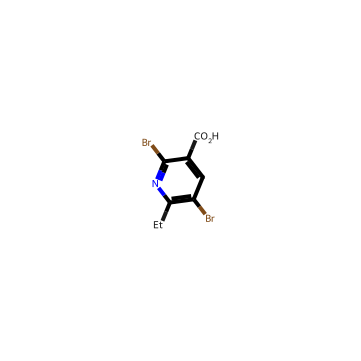 CCc1nc(Br)c(C(=O)O)cc1Br